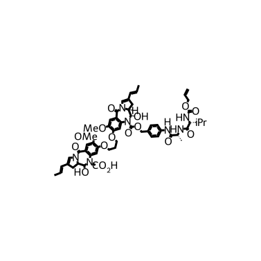 C=CCOC(=O)N[C@@H](C(=O)N[C@H](C)C(=O)Nc1ccc(COC(=O)N2c3cc(OCCCOc4cc5c(cc4OC)C(=O)N4C=C(/C=C/C)CC4C(O)N5C(=O)O)c(OC)cc3C(=O)N3C=C(/C=C/C)C[C@H]3[C@@H]2O)cc1)C(C)C